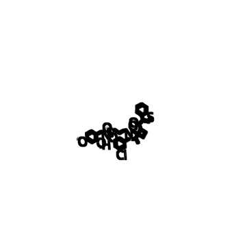 COc1ccc(CNS(=O)(=O)CCCN(Cc2cccc(Cl)c2)C(=O)C2(C(C)C)CCC2C(=O)c2csc3ccccc23)c(OC)c1